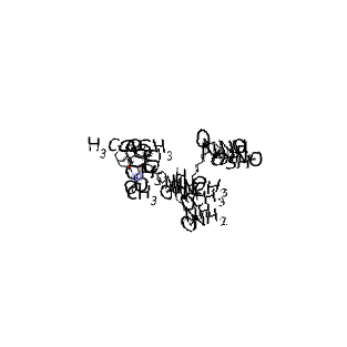 CCC1CC2CC(C)CC(C2)C12OOC2(OC)c1ccc(/C=C/C(=O)OC)c(OCc2ccc(NC(=O)C(CCCNC(N)=O)NC(=O)C(NC(=O)CCCCCN3C(=O)CC(N[C@H](CS)C(=O)NCC=O)C3=O)C(C)C)cc2)c1Cl